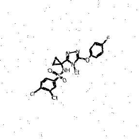 CCn1c(Oc2ccc(F)cc2)nnc1C1(NS(=O)(=O)c2ccc(Cl)c(Cl)c2)CC1